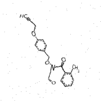 C#CCOc1ccc(CON(C=O)C(=O)c2ccccc2C)cc1